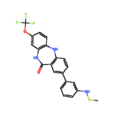 CSNc1cccc(-c2ccc3c(c2)C(=O)Nc2cc(OC(F)(F)F)ccc2N3)c1